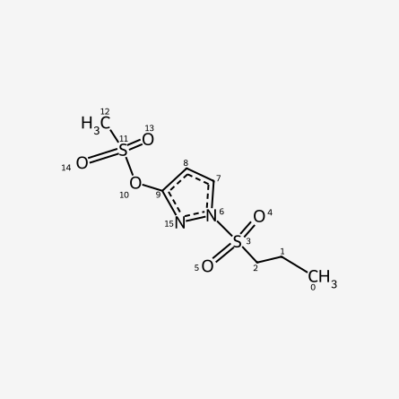 CCCS(=O)(=O)n1ccc(OS(C)(=O)=O)n1